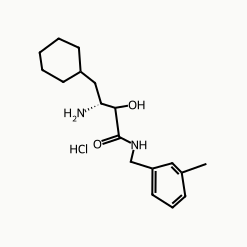 Cc1cccc(CNC(=O)C(O)[C@H](N)CC2CCCCC2)c1.Cl